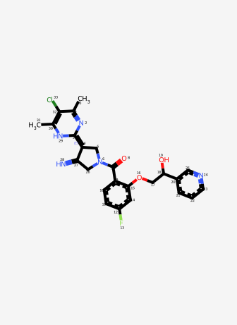 CC1=N/C(=C2\CN(C(=O)c3ccc(F)cc3OCC(O)c3cccnc3)CC2=N)NC(C)=C1Cl